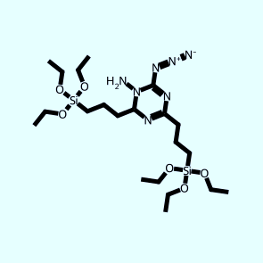 CCO[Si](CCCC1=NC(CCC[Si](OCC)(OCC)OCC)N(N)C(N=[N+]=[N-])=N1)(OCC)OCC